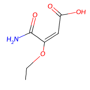 CCO/C(=C/C(=O)O)C(N)=O